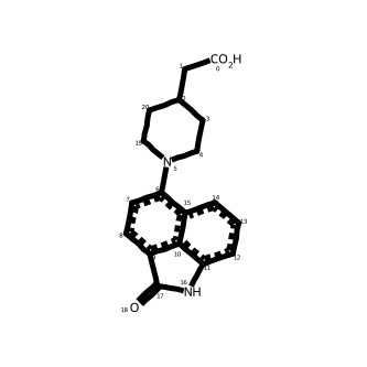 O=C(O)CC1CCN(c2ccc3c4c(cccc24)NC3=O)CC1